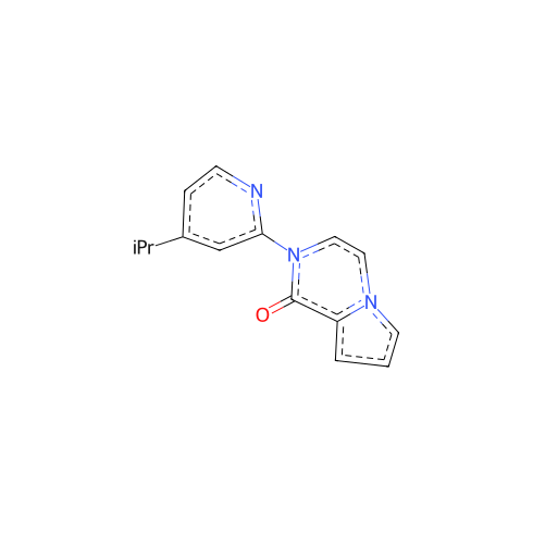 CC(C)c1ccnc(-n2ccn3cccc3c2=O)c1